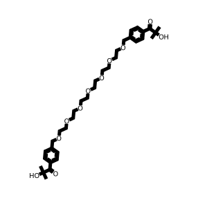 CC(C)(O)C(=O)c1ccc(COCCOCCOCCOCCOCCOCCOCc2ccc(C(=O)C(C)(C)O)cc2)cc1